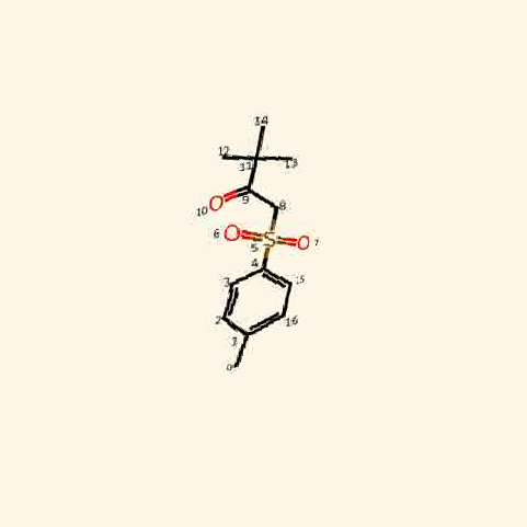 Cc1ccc(S(=O)(=O)CC(=O)C(C)(C)C)cc1